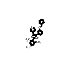 Cc1cc(C)c(-c2nc(-c3ccncc3)c(-c3cccc(OCc4ccccc4)c3)[nH]2)c(C)c1